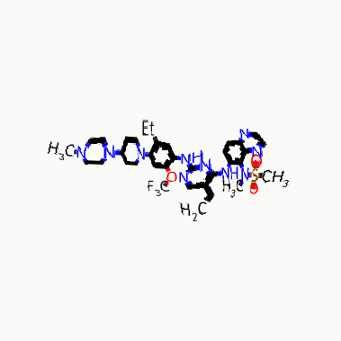 C=Cc1cnc(Nc2cc(CC)c(N3CCC(N4CCN(C)CC4)CC3)cc2OC(F)(F)F)nc1Nc1ccc2nccnc2c1N(C)S(C)(=O)=O